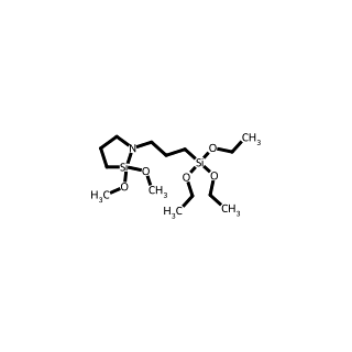 CCO[Si](CCCN1CCC[Si]1(OC)OC)(OCC)OCC